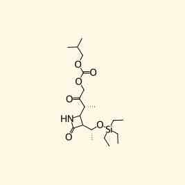 CC[Si](CC)(CC)O[C@H](C)C1C(=O)NC1[C@@H](C)C(=O)COC(=O)OCC(C)C